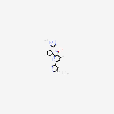 CCn1cc(N2C(=O)c3c(C)cc(-c4cncc(OC)c4)nc3C23CCCC3)cn1